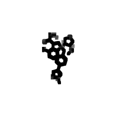 CO[C@H]1COC[C@@H]1[N+]1(Cc2ccc(-c3cnn(C)c3)cc2)C=C(C(N)=O)c2c(F)cccc21